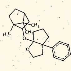 CC1(C)C2CCC1(C)C(OC13CCCC1(c1ccccc1)CCO3)C2